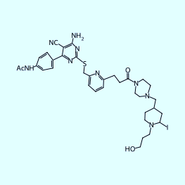 CC(=O)Nc1ccc(-c2nc(SCc3cccc(CCC(=O)N4CCN(CC5CCN(CCCO)C(I)C5)CC4)n3)nc(N)c2C#N)cc1